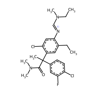 CCc1cc(C(C)(C(=O)N(C)C)c2ccc(Cl)c(F)c2)c(Cl)cc1/N=C/N(C)CC